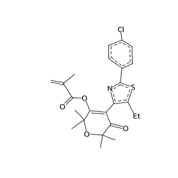 C=C(C)C(=O)OC1=C(c2nc(-c3ccc(Cl)cc3)sc2CC)C(=O)C(C)(C)OC1(C)C